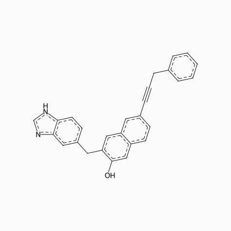 Oc1cc2ccc(C#CCc3ccccc3)cc2cc1Cc1ccc2[nH]cnc2c1